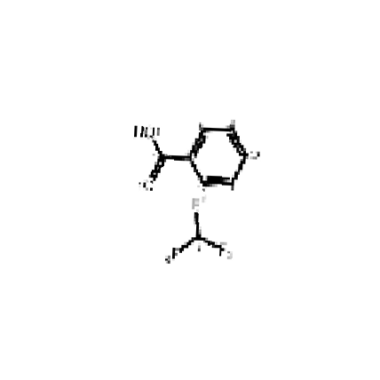 FC(F)F.O=C(O)c1ccccc1